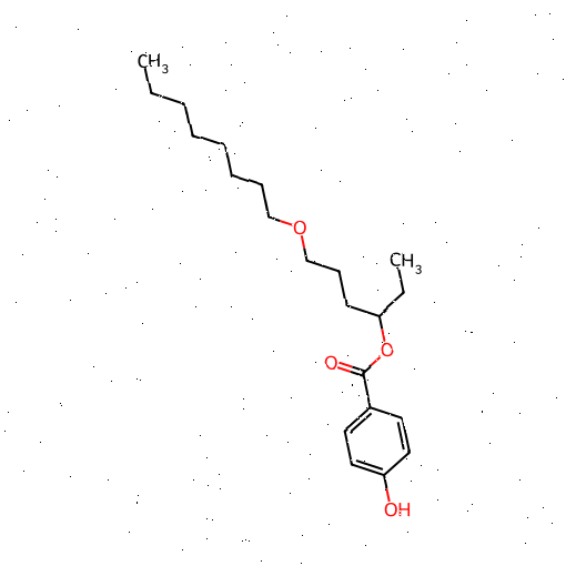 CCCCCCCCOCCCC(CC)OC(=O)c1ccc(O)cc1